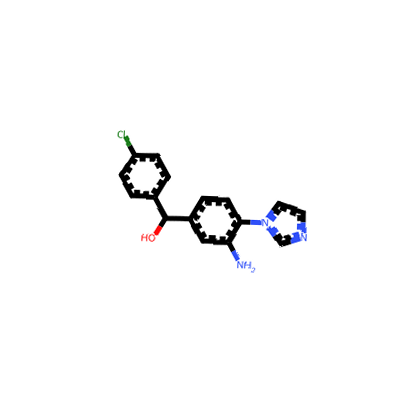 Nc1cc(C(O)c2ccc(Cl)cc2)ccc1-n1ccnc1